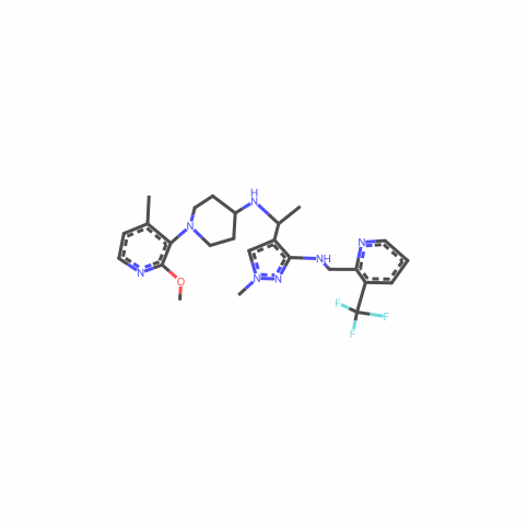 COc1nccc(C)c1N1CCC(NC(C)c2cn(C)nc2NCc2ncccc2C(F)(F)F)CC1